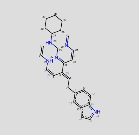 C=CN/C=C\C(=C/Cc1ccc2[nH]ccc2c1)C(/C=C\N=C)=NCNC1CCCCC1